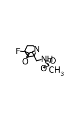 CS(=O)(=O)NCC1C(=O)C2(F)CCN1CC2